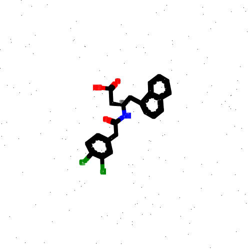 O=C(O)C[C@@H](Cc1cccc2ccccc12)NC(=O)Cc1ccc(Cl)c(Cl)c1